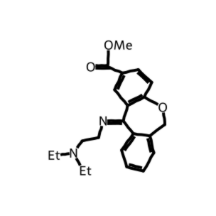 CCN(CC)CC/N=C1\c2ccccc2COc2ccc(C(=O)OC)cc21